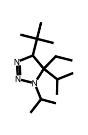 CCC1(C(C)C)C(C(C)(C)C)N=NN1C(C)C